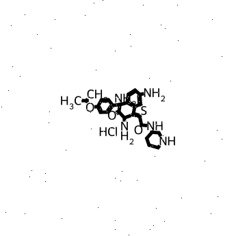 CC(C)Oc1ccc(C2(N)C(=O)C(N)c3c(C(=O)NC4CCCNC4)sc4c(N)ccc2c34)cc1.Cl